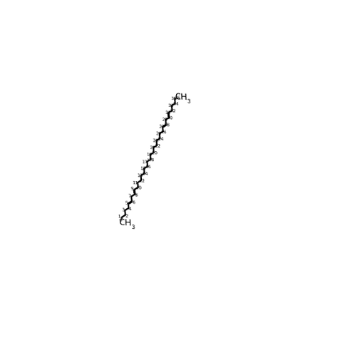 CCCCC/C=C/C/C=C/CCCCCCCC[CH]CCCCCCCC/C=C/C/C=C/CCCCC